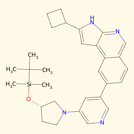 CC(C)(C)[Si](C)(C)O[C@H]1CCN(c2cncc(-c3ccc4cnc5[nH]c(C6CCC6)cc5c4c3)c2)C1